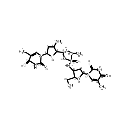 Cc1cn(C2CC(N)C(COP(=O)(NC3CC(n4cc(C)c(=O)[nH]c4=O)OC3CO)N(C)C)O2)c(=O)[nH]c1=O